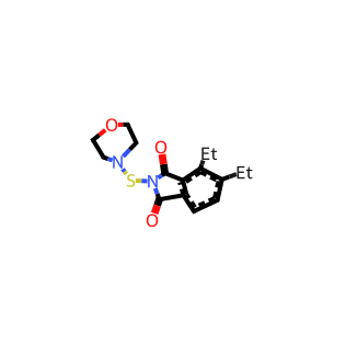 CCc1ccc2c(c1CC)C(=O)N(SN1CCOCC1)C2=O